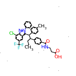 CCCC(c1ccc(C(=O)NCCC(=O)O)cc1)C(c1ccc(C)cc1)c1c2cc(C(F)(F)F)cc(Cl)c2nn1-c1ccccc1